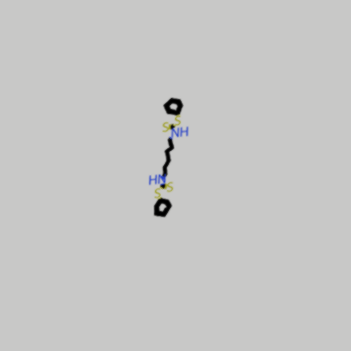 S=C(NCCCCCCNC(=S)Sc1ccccc1)Sc1ccccc1